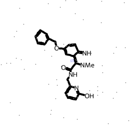 CN/C(C(=O)NCc1cccc(O)n1)=C1/C=C(OCc2ccccc2)C=CC1=N